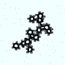 c1ccc(-c2cc3nc(-n4c5ccccc5c5c(-c6ccc7c(c6)c6c8ccccc8ccc6n7-c6nc(-c7ccccc7)c7ccccc7n6)cccc54)nc(-c4ccccc4)c3s2)cc1